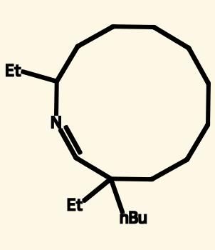 CCCCC1(CC)C=NC(CC)CCCCCCCC1